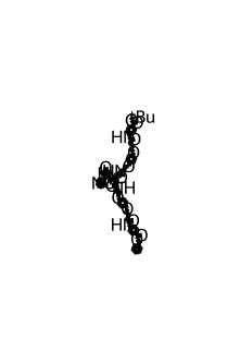 CN1C(=O)C[C@H](C(=O)N(CC(=O)NCCOC2CCC(OCCCC(=O)NC3CCC(C(=O)OCc4ccccc4)CC3)CC2)CC(=O)NCCOC2CCC(OCCCC(=O)NC3CCC(C(=O)OC(C)(C)C)CC3)CC2)[C@H]1c1cccnc1